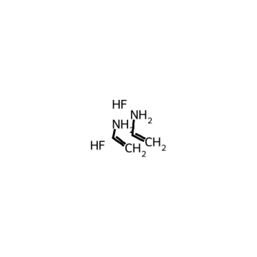 C=CN.C=CN.F.F